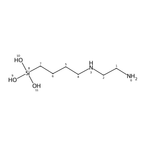 NCCNCCCC[Si](O)(O)O